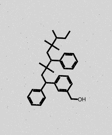 CCC(C)C(C)(C)CC(c1ccccc1)C(C)(C)CC(c1ccccc1)c1cccc(CO)c1